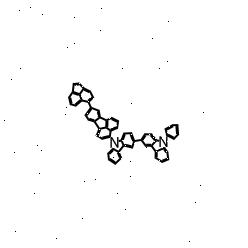 C1=Cc2ccc(-c3ccc4c(c3)-c3cccc5c(-n6c7ccccc7c7cc(-c8ccc9c(c8)c8ccccc8n9-c8ccccc8)ccc76)ccc-4c35)c3cccc1c23